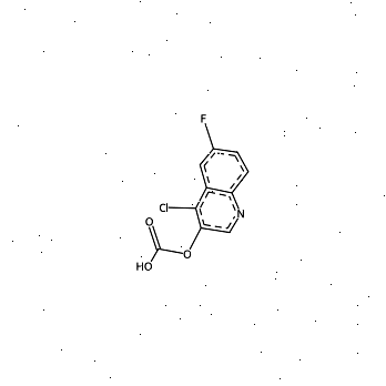 O=C(O)Oc1cnc2ccc(F)cc2c1Cl